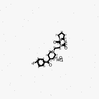 Cl.O.O=C(c1ccc(F)cc1)C1CCN(CCn2c(=O)nc3n(c2=O)CCC3)CC1